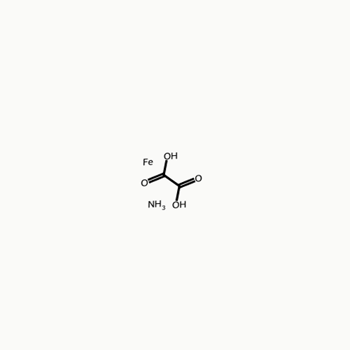 N.O=C(O)C(=O)O.[Fe]